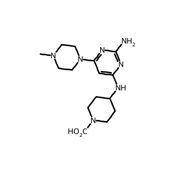 CN1CCN(c2cc(NC3CCN(C(=O)O)CC3)nc(N)n2)CC1